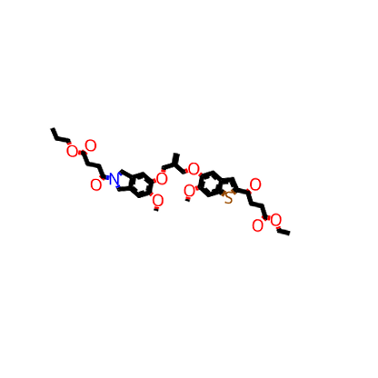 C=C(COc1cc2c(cc1OC)CN(C(=O)CCC(=O)OCCC)C2)COc1cc2cc(C(=O)CCC(=O)OCC)sc2cc1OC